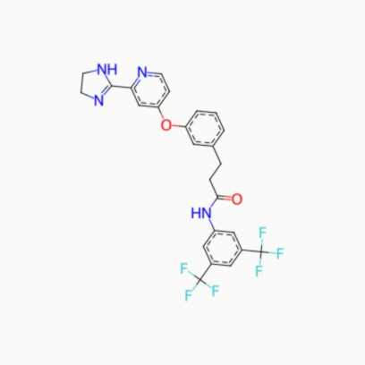 O=C(CCc1cccc(Oc2ccnc(C3=NCCN3)c2)c1)Nc1cc(C(F)(F)F)cc(C(F)(F)F)c1